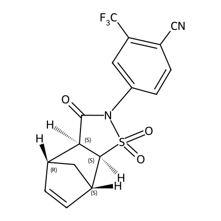 N#Cc1ccc(N2C(=O)[C@H]3[C@H]([C@@H]4C=C[C@H]3C4)S2(=O)=O)cc1C(F)(F)F